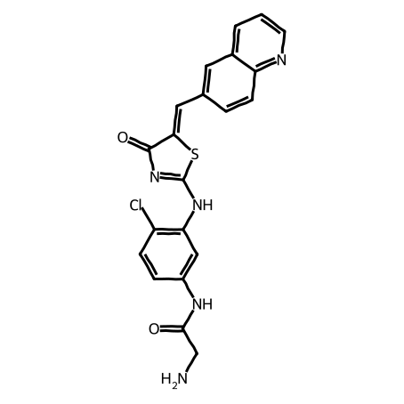 NCC(=O)Nc1ccc(Cl)c(NC2=NC(=O)/C(=C/c3ccc4ncccc4c3)S2)c1